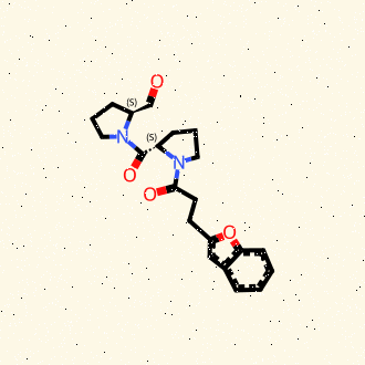 O=C[C@@H]1CCCN1C(=O)[C@@H]1CCCN1C(=O)CCc1cc2ccccc2o1